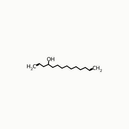 C=CCCCCCCCCC(O)CC=C